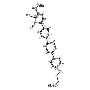 CCCCCCCCCCCCOc1ccc(-c2ccc(-c3ccc(-c4ccc(OCCCC)c(F)c4F)cc3)cc2)cc1